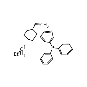 C=C[C@H]1CC[C@H](I)CC1.CCC.c1ccc(P(c2ccccc2)c2ccccc2)cc1